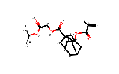 C=C(C)C(=O)OC12CC3CC(C1)CC(C(=O)OCC(=O)OC(C(F)(F)F)C(F)(F)F)(C3)C2